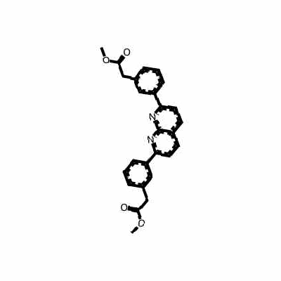 COC(=O)Cc1cccc(-c2ccc3ccc(-c4cccc(CC(=O)OC)c4)nc3n2)c1